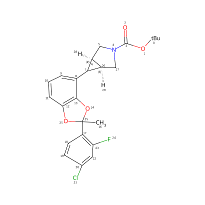 CC(C)(C)OC(=O)N1C[C@@H]2C(c3cccc4c3OC(C)(c3ccc(Cl)cc3F)O4)[C@@H]2C1